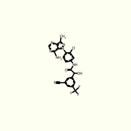 Cc1nn(-c2ccc(NC(=O)C(O)c3cc(C#N)cc(C(F)(F)F)c3)cc2Cl)c2c(N)ncnc12